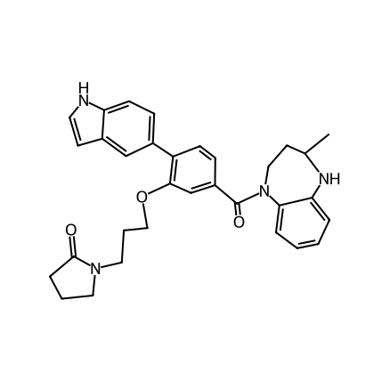 CC1CCN(C(=O)c2ccc(-c3ccc4[nH]ccc4c3)c(OCCCN3CCCC3=O)c2)c2ccccc2N1